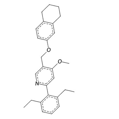 CCc1cccc(CC)c1-c1cc(OC)c(COc2ccc3c(c2)CCCC3)cn1